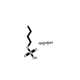 CCCCOS(=O)(=O)O.N.O.[NaH]